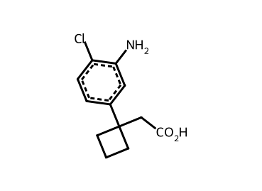 Nc1cc(C2(CC(=O)O)CCC2)ccc1Cl